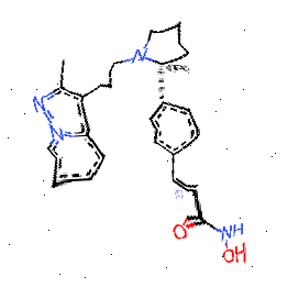 Cc1nn2ccccc2c1CCN1CCC[C@@H]1c1ccc(/C=C/C(=O)NO)cc1